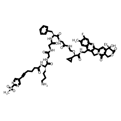 CC[C@@]1(O)C(=O)OCc2c1cc1n(c2=O)Cc2c-1nc1cc(F)c(C)cc1c2CNC(=O)[C@H](OCNC(=O)CNC(=O)[C@H](Cc1ccccc1)NC(=O)CNC(=O)CNC(=O)[C@H](CCCCN)NC(=O)CCCC#Cc1cnc(S(C)(=O)=O)nc1)C1CC1